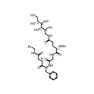 CN[C@@H](CCC(=O)NC[C@H](O)[C@@H](O)[C@H](O)[C@H](O)CO)C(=O)NCC(=O)N[C@@H](Cc1ccccc1)C(=O)NCC(=O)NCC(C)C